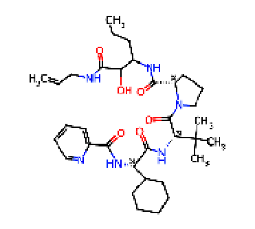 C=CCNC(=O)C(O)C(CCC)NC(=O)[C@@H]1CCCN1C(=O)[C@@H](NC(=O)[C@@H](NC(=O)c1ccccn1)C1CCCCC1)C(C)(C)C